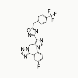 Fc1ccc2c(c1)-c1ncnn1Cc1c(-c3noc(Cc4ccc(C(F)(F)F)cc4)n3)ncn1-2